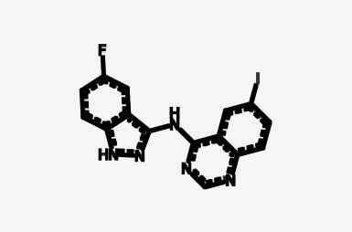 Fc1ccc2[nH]nc(Nc3ncnc4ccc(I)cc34)c2c1